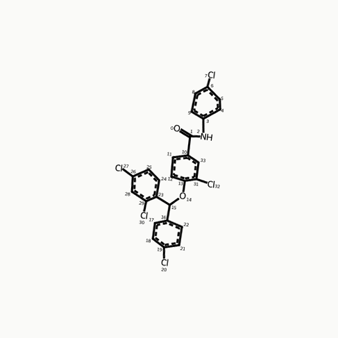 O=C(Nc1ccc(Cl)cc1)c1ccc(OC(c2ccc(Cl)cc2)c2ccc(Cl)cc2Cl)c(Cl)c1